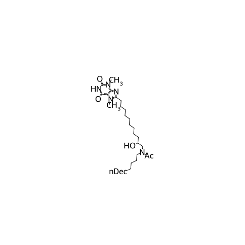 CCCCCCCCCCCCCCN(CC(O)CCCCCCCCCc1nc2c(c(=O)[nH]c(=O)n2C)n1C)C(C)=O